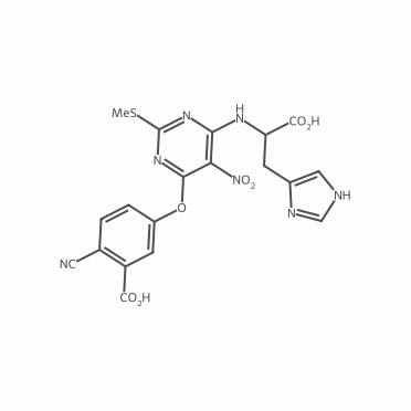 CSc1nc(NC(Cc2c[nH]cn2)C(=O)O)c([N+](=O)[O-])c(Oc2ccc(C#N)c(C(=O)O)c2)n1